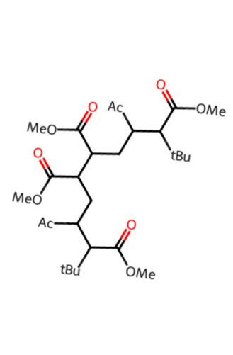 COC(=O)C(CC(C(C)=O)C(C(=O)OC)C(C)(C)C)C(CC(C(C)=O)C(C(=O)OC)C(C)(C)C)C(=O)OC